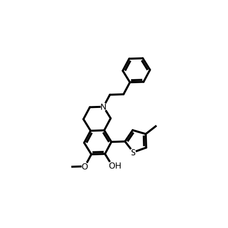 COc1cc2c(c(-c3cc(C)cs3)c1O)CN(CCc1ccccc1)CC2